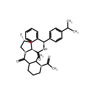 CC(=O)N1CCCC(C(=O)N2C[C@H](F)C[C@H]2C(=O)N[C@@H](c2ccccc2)c2ccc(C(C)C)cc2)C1C